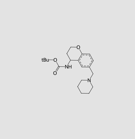 CC(C)(C)OC(=O)NC1CCOc2ccc(CN3CCCCC3)cc21